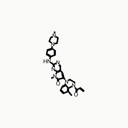 C=CC(=O)N1CCN(c2cc3cnc(Nc4ccc(N5CCN(C)CC5)cc4)nc3n(C)c2=O)c2cccc(C)c21